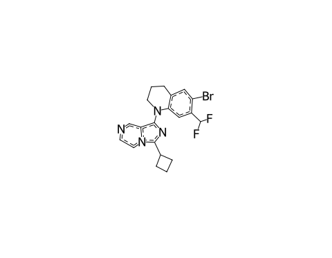 FC(F)c1cc2c(cc1Br)CCCN2c1nc(C2CCC2)n2ccncc12